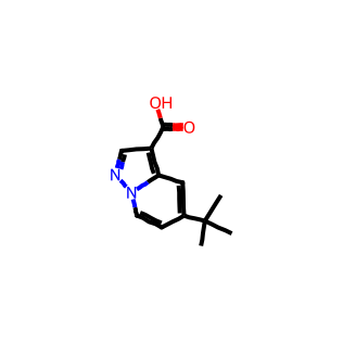 CC(C)(C)c1ccn2ncc(C(=O)O)c2c1